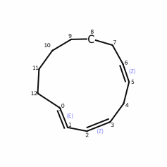 [C]1=C/C=C\C/C=C\CCCCCC/1